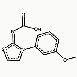 COc1cccc(-n2ccs/c2=N/C(=O)O)c1